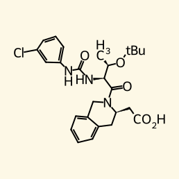 C[C@@H](OC(C)(C)C)[C@H](NC(=O)Nc1cccc(Cl)c1)C(=O)N1Cc2ccccc2C[C@@H]1CC(=O)O